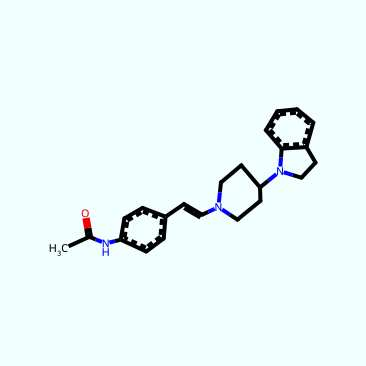 CC(=O)Nc1ccc(C=CN2CCC(N3CCc4ccccc43)CC2)cc1